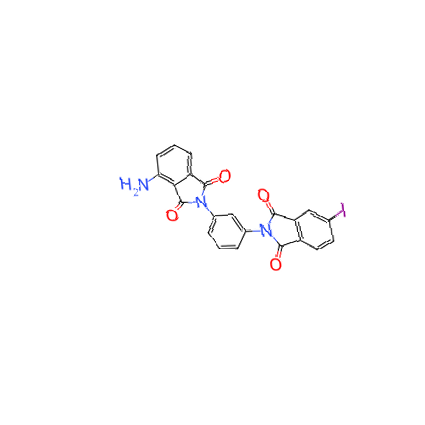 Nc1cccc2c1C(=O)N(c1cccc(N3C(=O)c4ccc(I)cc4C3=O)c1)C2=O